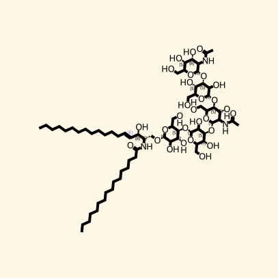 CCCCCCCCCCCCC/C=C/[C@@H](O)[C@H](CO[C@@H]1OC(CO)[C@@H](O[C@@H]2OC(CO)[C@H](O)[C@H](O[C@@H]3OC(CO)[C@@H](O[C@@H]4OC(CO)[C@H](O)[C@H](O[C@@H]5OC(CO)[C@@H](O)[C@H](O)C5NC(C)=O)C4O)[C@H](O)C3NC(C)=O)C2O)[C@H](O)C1O)NC(=O)CCCCCCCCCCCCCCC